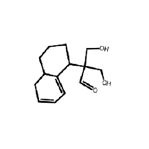 O=[C]C(CO)(CO)C1CCCC2CC=CC=C21